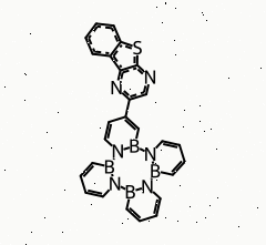 C1=CB2N(C=C1)B1C=CC=CN1B1C=C(c3cnc4sc5ccccc5c4n3)C=CN1B1C=CC=CN21